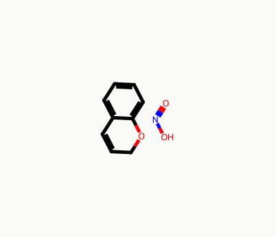 C1=Cc2ccccc2OC1.O=NO